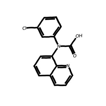 O=C(O)N(c1cccc(Cl)c1)c1cccc2cccnc12